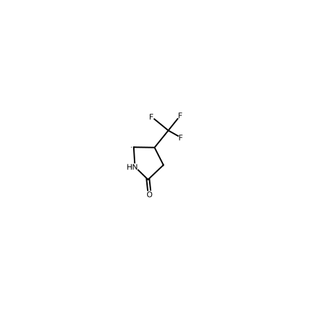 O=C1CC(C(F)(F)F)[CH]N1